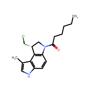 CCCCCC(=O)N1C[C@@H](CCl)c2c1c[c]c1[nH]cc(C)c21